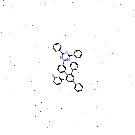 CC1C=C(c2cc(-c3ccccc3)cc(-c3ccccc3)c2-c2cccc(-c3nc(-c4ccccc4)nc(-c4ccccc4)n3)c2)C=CC1